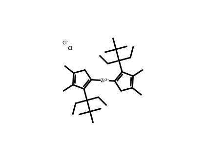 CCC(CC)(C1=[C]([Zr+2][C]2=C(C(CC)(CC)C(C)(C)C)C(C)=C(C)C2)CC(C)=C1C)C(C)(C)C.[Cl-].[Cl-]